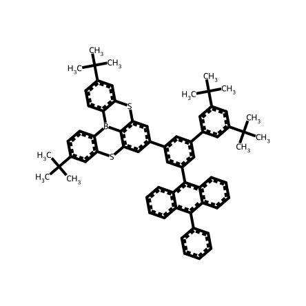 CC(C)(C)c1cc(-c2cc(-c3cc4c5c(c3)Sc3cc(C(C)(C)C)ccc3B5c3ccc(C(C)(C)C)cc3S4)cc(-c3c4ccccc4c(-c4ccccc4)c4ccccc34)c2)cc(C(C)(C)C)c1